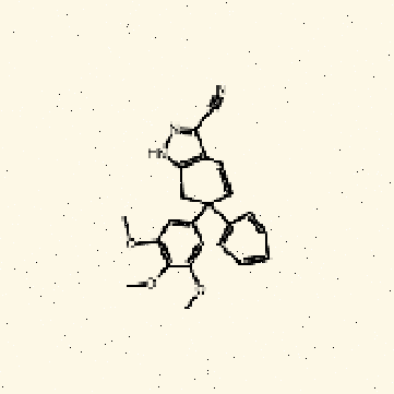 COc1cc(C2(c3ccccc3)C=Cc3c(C#N)n[nH]c3C2)cc(OC)c1OC